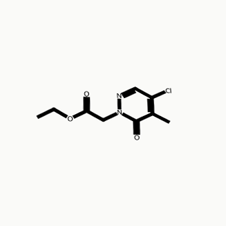 CCOC(=O)Cn1ncc(Cl)c(C)c1=O